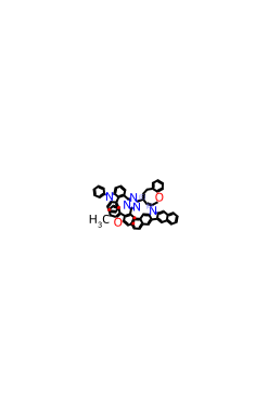 CC1CC=Cc2c1oc1cccc(-c3nc(C4=C/Cc5ccccc5OC/C(n5c6cc7ccccc7cc6c6cc7ccccc7cc65)=C\4)nc(-c4cccc5c4c4ccccc4n5-c4ccccc4)n3)c21